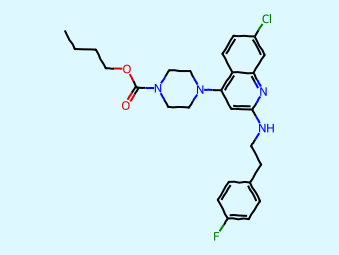 CCCCOC(=O)N1CCN(c2cc(NCCc3ccc(F)cc3)nc3cc(Cl)ccc23)CC1